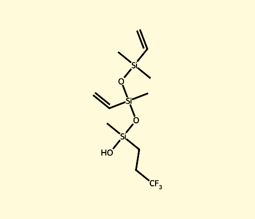 C=C[Si](C)(C)O[Si](C)(C=C)O[Si](C)(O)CCC(F)(F)F